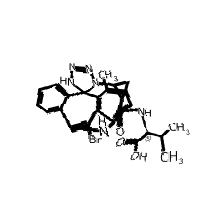 Cc1ccc2[nH]c3c(Br)c2c1C1(NN=NN1C1CC1C(=O)N[C@H](C(=O)O)C(C)C)c1ccccc1-3